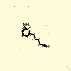 N#CCCSCc1cccc(N)n1